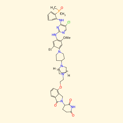 CCc1cc(Nc2ncc(Cl)c(Nc3ccccc3P(C)(C)=O)n2)c(OC)cc1N1CCC(N2C[C@@H]3C[C@H]2CN3CCOc2cccc3c2CN(C2CCC(=O)NC2=O)C3=O)CC1